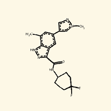 Cc1cc(-c2cnn(C)c2)cc2c(C(=O)NC3CCC(F)(F)CC3)n[nH]c12